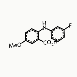 COc1ccc(Nc2cccc(F)c2)c(C(=O)O)c1